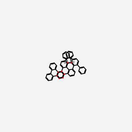 c1ccc(-c2cccc(-c3c(-c4ccccc4)ccc4c3[nH]c3ccccc34)c2-c2c(-c3cccc4c5ccccc5c5ccccc5c34)ccc3c2[nH]c2ccccc23)cc1